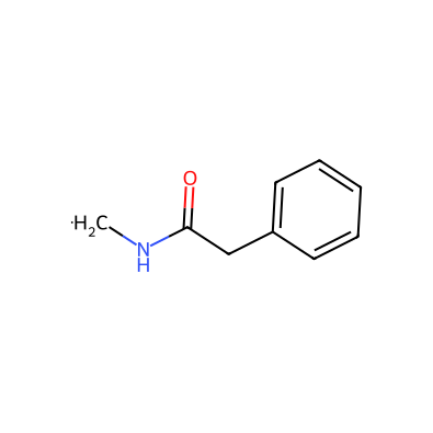 [CH2]NC(=O)Cc1ccccc1